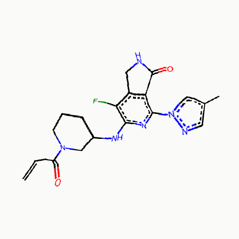 C=CC(=O)N1CCCC(Nc2nc(-n3cc(C)cn3)c3c(c2F)CNC3=O)C1